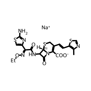 CCON=C(C(=O)NC1C(=O)N2C(C(=O)[O-])=C(C=Cc3scnc3C)CS[C@@H]12)c1csc(N)n1.[Na+]